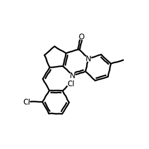 Cc1ccc2nc3c(c(=O)n2c1)CC/C3=C/c1c(Cl)cccc1Cl